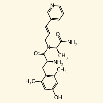 Cc1cc(O)cc(C)c1C[C@H](N)C(=O)N(C/C=C/c1cccnc1)[C@H](C)C(N)=O